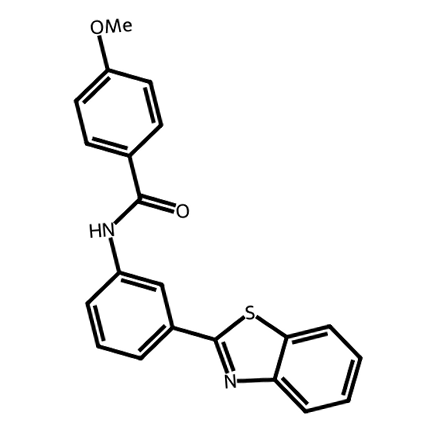 COc1ccc(C(=O)Nc2cccc(-c3nc4ccccc4s3)c2)cc1